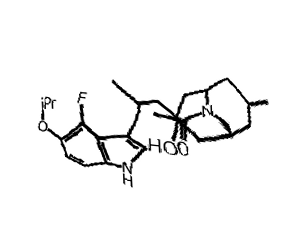 CC1CC2CC(C)(O)CC(C1)N2C(=O)CC(C)c1c[nH]c2ccc(OC(C)C)c(F)c12